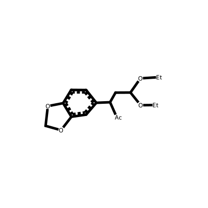 CCOC(CC(C(C)=O)c1ccc2c(c1)OCO2)OCC